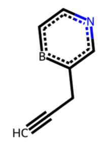 C#CCc1bccnc1